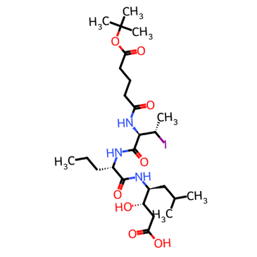 CCC[C@H](NC(=O)[C@@H](NC(=O)CCCC(=O)OC(C)(C)C)[C@H](C)I)C(=O)N[C@@H](CC(C)C)[C@@H](O)CC(=O)O